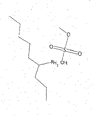 CCCCCC(P)CCC.COS(=O)(=O)O